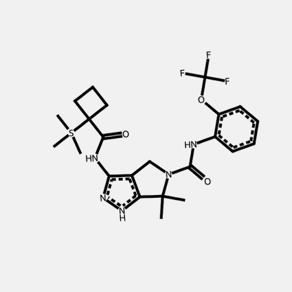 CC1(C)c2[nH]nc(NC(=O)C3(S(C)(C)C)CCC3)c2CN1C(=O)Nc1ccccc1OC(F)(F)F